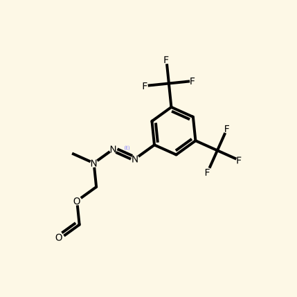 CN(COC=O)/N=N/c1cc(C(F)(F)F)cc(C(F)(F)F)c1